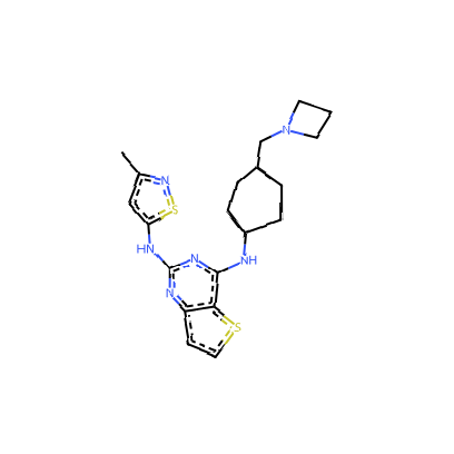 Cc1cc(Nc2nc(NC3CCC(CN4CCC4)CC3)c3sccc3n2)sn1